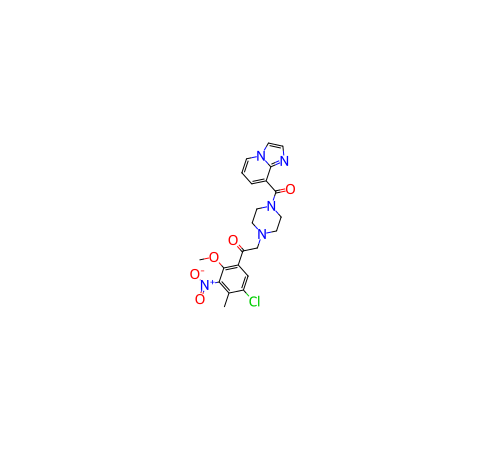 COc1c(C(=O)CN2CCN(C(=O)c3cccn4ccnc34)CC2)cc(Cl)c(C)c1[N+](=O)[O-]